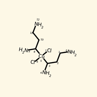 NCC[CH](N)[Cu]([Cl])([Cl])[CH](N)CCN